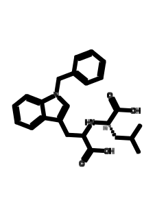 CC(C)C[C@H](NC(Cc1cn(Cc2ccccc2)c2ccccc12)C(=O)O)C(=O)O